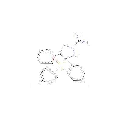 N=C(N)N1CC(c2ccccc2)C(c2ccc(Cl)cc2)(S(=O)(=O)c2ccc(C(F)(F)F)cc2)N1